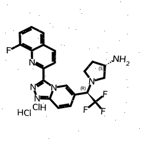 Cl.Cl.N[C@H]1CCN([C@H](c2ccc3nnc(-c4ccc5cccc(F)c5n4)n3c2)C(F)(F)F)C1